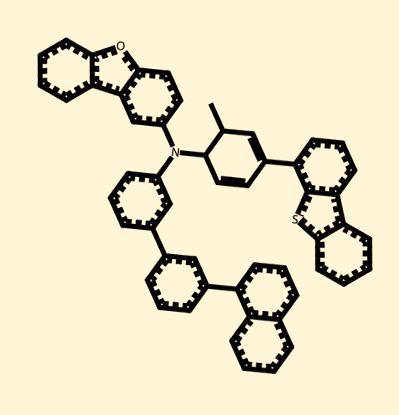 CC1C=C(c2cccc3c2sc2ccccc23)C=CC1N(c1cccc(-c2cccc(-c3cccc4ccccc34)c2)c1)c1ccc2oc3ccccc3c2c1